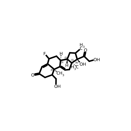 CC1C[C@H]2[C@@H]3CC(F)C4=CC(=O)CC(CO)[C@]4(C)C3=CC[C@]2(C)[C@@]1(O)C(=O)CO